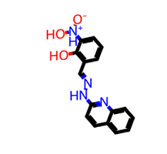 [O-][NH+](O)c1cccc(C=NNc2ccc3ccccc3n2)c1O